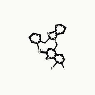 Cc1ccccc1Cc1nc2ccccc2n1Cc1cc(=O)[nH]c2c(F)c(F)ccc12